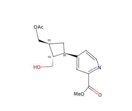 COC(=O)c1cc([C@@H]2C[C@H](COC(C)=O)[C@H]2CO)ccn1